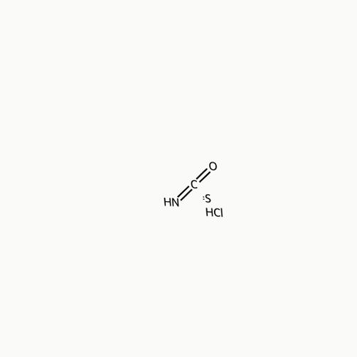 Cl.N=C=O.[S]